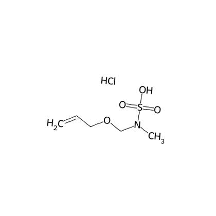 C=CCOCN(C)S(=O)(=O)O.Cl